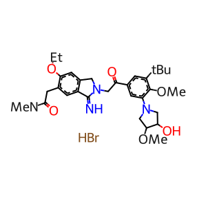 Br.CCOc1cc2c(cc1CC(=O)NC)C(=N)N(CC(=O)c1cc(N3CC(O)C(OC)C3)c(OC)c(C(C)(C)C)c1)C2